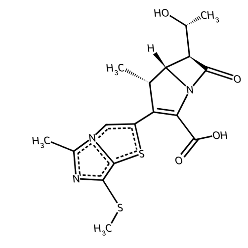 CSc1nc(C)n2cc(C3=C(C(=O)O)N4C(=O)[C@H]([C@@H](C)O)[C@H]4[C@H]3C)sc12